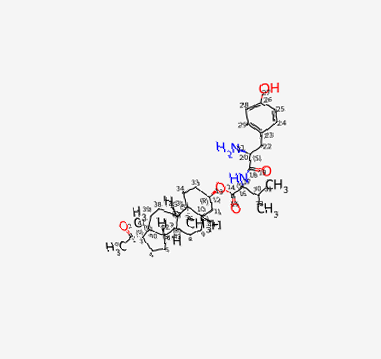 CC(=O)[C@H]1CC[C@H]2[C@@H]3CC[C@H]4C[C@H](OC(=O)[C@@H](NC(=O)[C@@H](N)Cc5ccc(O)cc5)C(C)C)CC[C@]4(C)[C@H]3CC[C@]12C